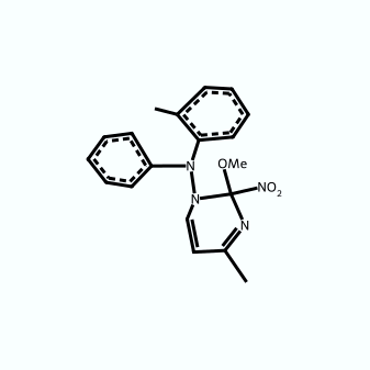 COC1([N+](=O)[O-])N=C(C)C=CN1N(c1ccccc1)c1ccccc1C